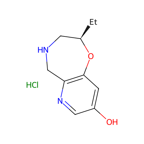 CC[C@@H]1CNCc2ncc(O)cc2O1.Cl